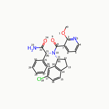 COc1ncccc1C(=O)N([C@@H]1CCc2ccc(Cl)cc21)[C@@H](C(N)=O)c1ccccc1